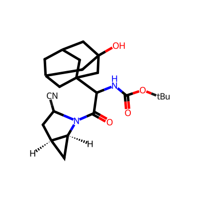 CC(C)(C)OC(=O)NC(C(=O)N1C(C#N)C[C@@H]2C[C@@H]21)C12CC3CC(CC(O)(C3)C1)C2